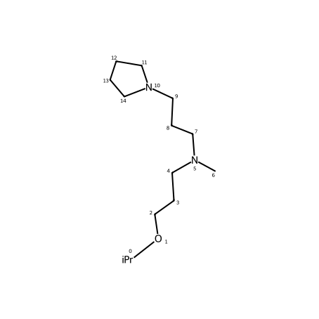 CC(C)OCCCN(C)CCCN1CCCC1